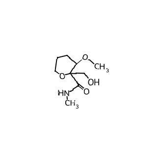 CNC(=O)C1(CO)OCCCC1OC